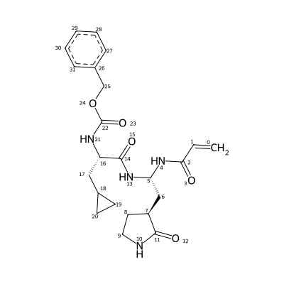 C=CC(=O)N[C@H](C[C@@H]1CCNC1=O)NC(=O)[C@H](CC1CC1)NC(=O)OCc1ccccc1